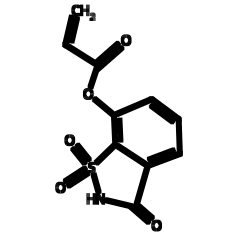 C=CC(=O)Oc1cccc2c1S(=O)(=O)NC2=O